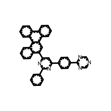 c1ccc(-c2nc(-c3ccc(-c4ncncn4)cc3)cc(-c3cc4c5ccccc5c5ccccc5c4c4ccccc34)n2)cc1